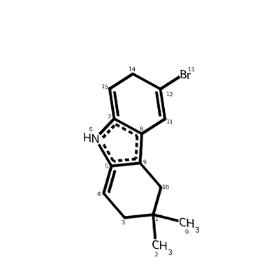 CC1(C)CC=c2[nH]c3c(c2C1)C=C(Br)CC=3